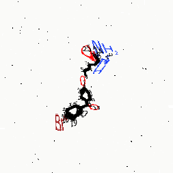 CNC(CC=CCOc1ccc(C(=O)c2ccc(Br)cc2)cc1)C(N)=O